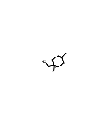 CC1CSC(C)(CO)CS1